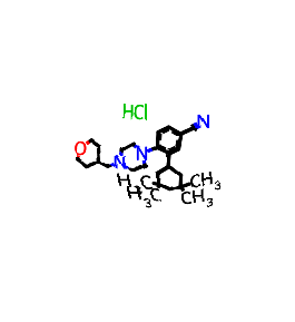 CC1(C)CC(c2cc(C#N)ccc2N2CCN(CC3CCOCC3)CC2)CC(C)(C)C1.Cl